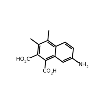 Cc1c(C(=O)O)c(C(=O)O)c2cc(N)ccc2c1C